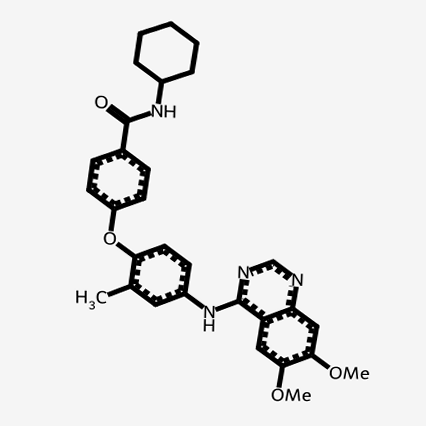 COc1cc2ncnc(Nc3ccc(Oc4ccc(C(=O)NC5CCCCC5)cc4)c(C)c3)c2cc1OC